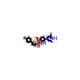 COc1ccc(N2CC(C)NC(C)C2)cc1NS(=O)(=O)c1ccc(-c2ccc(F)cc2)s1